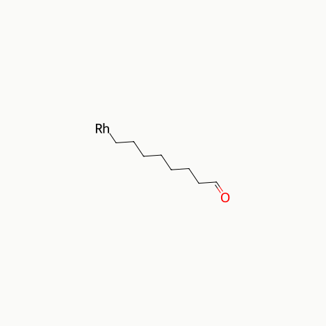 O=CCCCCCC[CH2][Rh]